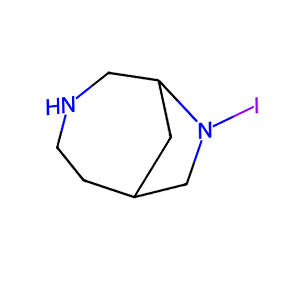 IN1CC2CCNCC1C2